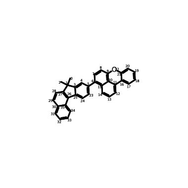 CC1(C)c2cc(-c3ccc4c5c(cccc35)-c3ccccc3O4)ccc2-c2c1ccc1ccccc21